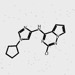 Clc1nc(Nc2cn(C3CCCC3)cn2)c2cccn2n1